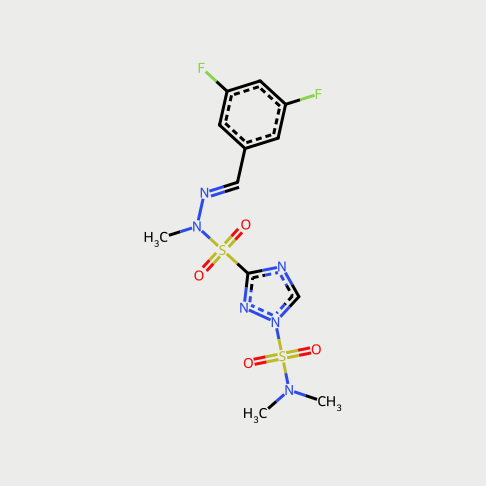 CN(/N=C/c1cc(F)cc(F)c1)S(=O)(=O)c1ncn(S(=O)(=O)N(C)C)n1